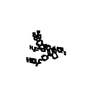 C[C@H](Oc1cc(-n2nc(C(F)(F)F)c3c2[C@@H](Nc2ccc(C(=O)O)cc2)CCC3)ccn1)c1ccc2c(c1)OC(F)(F)O2